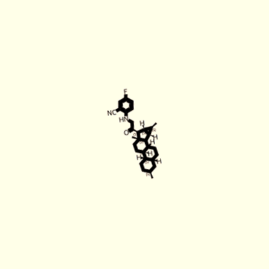 C[C@H]1CC[C@H]2[C@H](CC[C@H]3C4[C@@H]5[C@H](C)[C@@H]5[C@H](C(=O)CNc5ccc(F)cc5C#N)[C@@]4(C)CC[C@H]23)C1